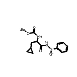 CC(C)(C)OC(=O)NC(CC1CC1)C(=O)N[S+]([O-])c1ccccc1